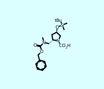 CN(C[C@@H]1C[C@@H](O[Si](C)(C)C(C)(C)C)CN1C(=O)O)C(=O)OCc1ccccc1